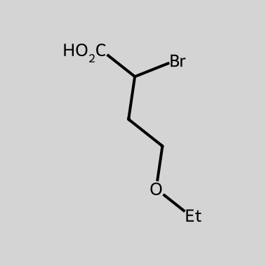 CCOCCC(Br)C(=O)O